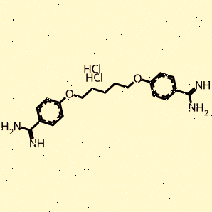 Cl.Cl.N=C(N)c1ccc(OCCCCCOc2ccc(C(=N)N)cc2)cc1